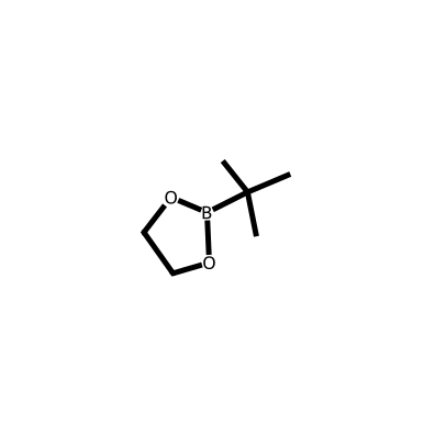 CC(C)(C)B1OCCO1